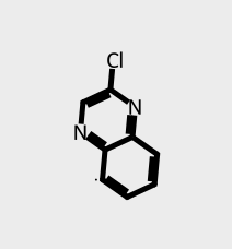 Clc1cnc2[c]cccc2n1